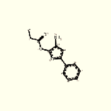 CCC(=O)Oc1oc(-c2ccccc2)cc1N